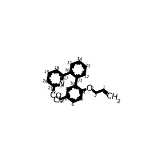 C=CCOc1ccc(Cl)cc1-c1ccccc1-c1cccc(C(=O)O)n1